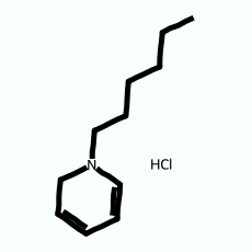 CCCCCCN1C=CC=CC1.Cl